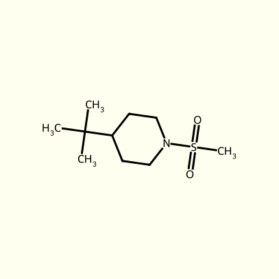 CC(C)(C)C1CCN(S(C)(=O)=O)CC1